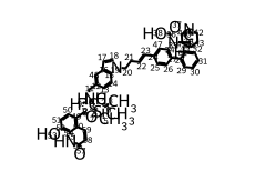 CC(C)(C)[Si](C)(C)O[C@@H](CNCc1ccc2c(ccn2CCC=Cc2ccc(-c3ccccc3)c(N(C(=O)O)[C@H]3CN4CCC3CC4)c2)c1)c1ccc(O)c2[nH]c(=O)ccc12